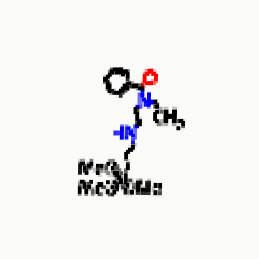 C=CN(CCNCCC[Si](OC)(OC)OC)C(=O)c1ccccc1